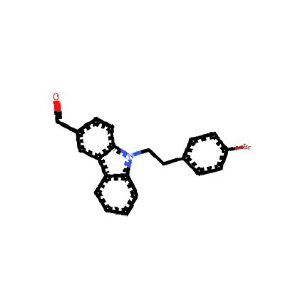 O=Cc1ccc2c(c1)c1ccccc1n2CCc1ccc(Br)cc1